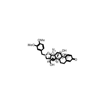 COc1ccc(CN2C[C@@H]3C[C@@]4(C=N)[C@@H]5CCC6=CC(=O)C=C[C@]6(C)[C@@]5(C)[C@@H](O)C[C@]4(C)[C@]3(C(=O)CO)O2)cc1OC